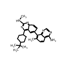 CNc1nc(C2CCC(C(C)(C)C)CC2)c2cc(-c3c(C)ccc4c(N)ncnc34)ccc2n1